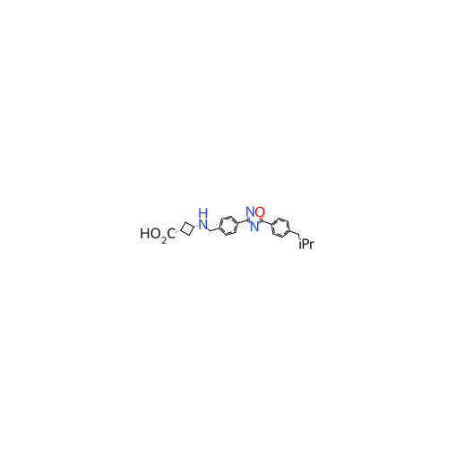 CC(C)Cc1ccc(-c2nc(-c3ccc(CN[C@H]4C[C@@H](C(=O)O)C4)cc3)no2)cc1